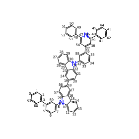 c1ccc(-c2cccc(-n3c4ccccc4c4cc(-c5ccc6c(c5)c5ccccc5n6-c5cccc(-c6cc(-c7ccccc7)nc(-c7ccccc7)c6)c5)ccc43)c2)cc1